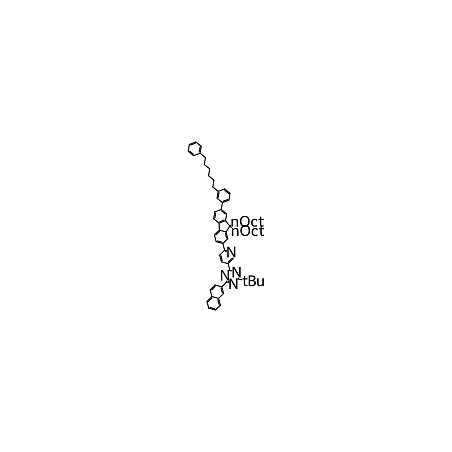 CCCCCCCCC1(CCCCCCCC)c2cc(-c3cccc(CCCCCCc4ccccc4)c3)ccc2-c2ccc(-c3ccc(-c4nc(-c5ccc6ccccc6c5)nc(C(C)(C)C)n4)cn3)cc21